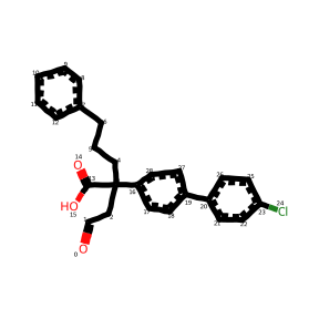 O=CCC(CCCc1ccccc1)(C(=O)O)c1ccc(-c2ccc(Cl)cc2)cc1